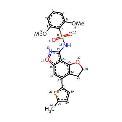 COc1cccc(OC)c1S(=O)(=O)Nc1noc2cc(-c3ccc(C)s3)c3c(c12)OCC3